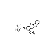 CCN(CC)c1ccc(/C=C2/Cc3ccccc3C2=O)c(C)c1